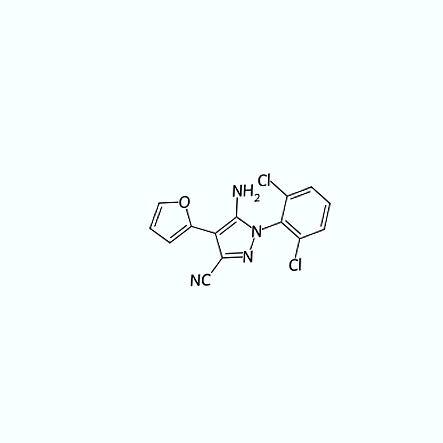 N#Cc1nn(-c2c(Cl)cccc2Cl)c(N)c1-c1ccco1